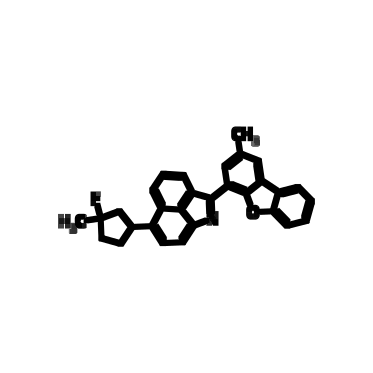 Cc1cc(C2=Nc3ccc(C4CCC(C)(F)C4)c4cccc2c34)c2oc3ccccc3c2c1